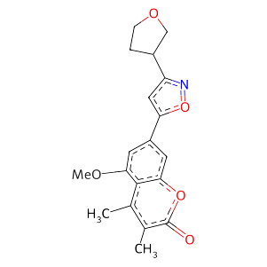 COc1cc(-c2cc(C3CCOC3)no2)cc2oc(=O)c(C)c(C)c12